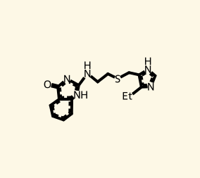 CCc1nc[nH]c1CSCCNc1nc(=O)c2ccccc2[nH]1